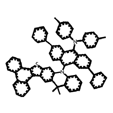 Cc1ccc(N(c2ccc(C)cc2)c2c3cc(-c4ccccc4)ccc3c(N3c4ccccc4C(C)(C)c4cc5c(cc43)sc3c4ccccc4c4ccccc4c53)c3cc(-c4ccccc4)ccc23)cc1